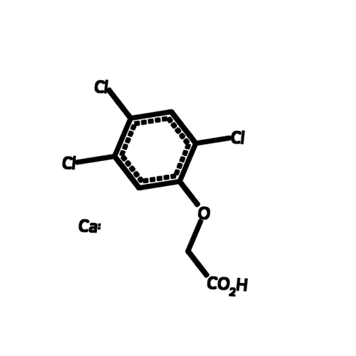 O=C(O)COc1cc(Cl)c(Cl)cc1Cl.[Ca]